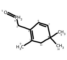 CC1=C(C[PH2]=O)C=CC(C)(C)C1